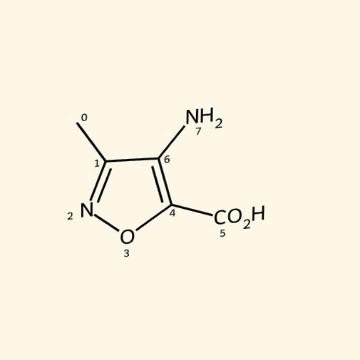 Cc1noc(C(=O)O)c1N